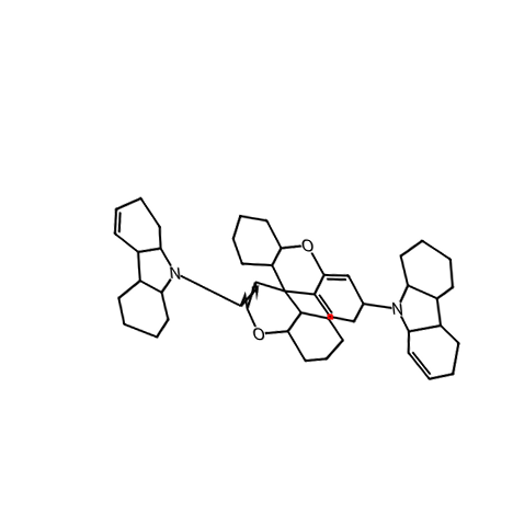 C1=CC2C(CC1)C1CCCCC1N2C1C=C2OC3CCCCC3C3(C2=CC1)C1C=CC(N2C4CCC=CC4C4CCCCC42)CC1OC1CCCCC13